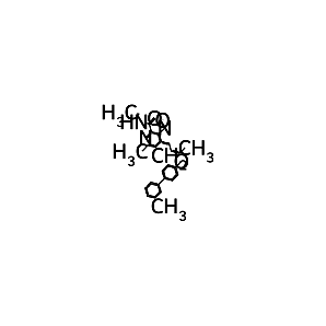 C=c1c(C)nc(C(=O)NCC)c(N=O)/c1=C/C=C(\C)Oc1ccc(-c2cccc(C)c2)cc1